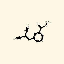 COC(=O)c1cccc(C=C(C#N)C#N)c1